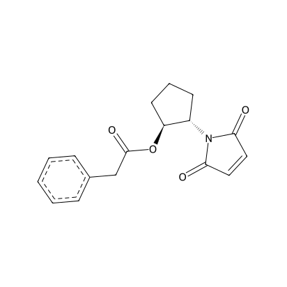 O=C(Cc1ccccc1)O[C@H]1CCC[C@@H]1N1C(=O)C=CC1=O